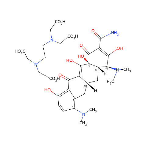 CN(C)c1ccc(O)c2c1C[C@H]1C[C@H]3[C@H](N(C)C)C(O)=C(C(N)=O)C(=O)[C@@]3(O)C(O)=C1C2=O.O=C(O)CN(CCN(CC(=O)O)CC(=O)O)CC(=O)O